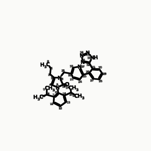 CCCc1cn(-c2c(C(C)C)cccc2C(C)C)c(=O)n1Cc1ccc(-c2ccccc2-c2nnn[nH]2)nc1